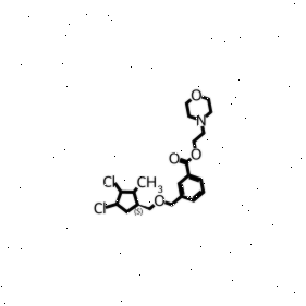 CC1C(Cl)C(Cl)C[C@@H]1COCc1cccc(C(=O)OCCN2CCOCC2)c1